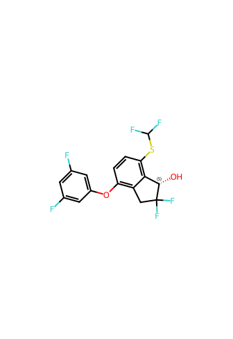 O[C@H]1c2c(SC(F)F)ccc(Oc3cc(F)cc(F)c3)c2CC1(F)F